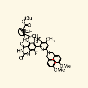 COc1ccc(CN(Cc2ccc(OC)cc2)c2cc(C)c(C(F)(F)F)c(-c3c(Cl)c(O[C@H](C)[C@H]4NCC5CC[C@@H]4CN5C(=O)OC(C)(C)C)c4c(=O)[nH]c(Cl)nc4c3F)n2)cc1